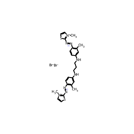 Cc1cc(NCCCNc2ccc(/N=N/c3scc[n+]3C)c(C)c2)ccc1/N=N/c1scc[n+]1C.[Br-].[Br-]